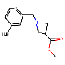 Bc1cccc(CN2CC(C(=O)OC)C2)c1